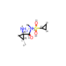 C[C@@H]1C[C@]1(N)C(=O)N(C)S(=O)(=O)C1CC1